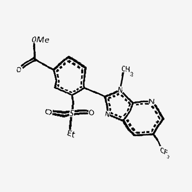 CCS(=O)(=O)c1cc(C(=O)OC)ccc1-c1nc2cc(C(F)(F)F)cnc2n1C